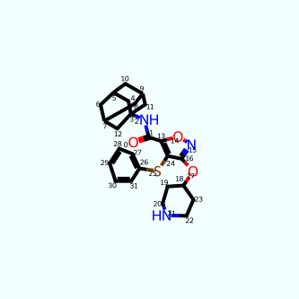 O=C(NC12CC3CC(CC(C3)C1)C2)c1onc(OC2CCNCC2)c1Sc1ccccc1